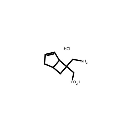 Cl.NCC1(CC(=O)O)CC2CC=CC21